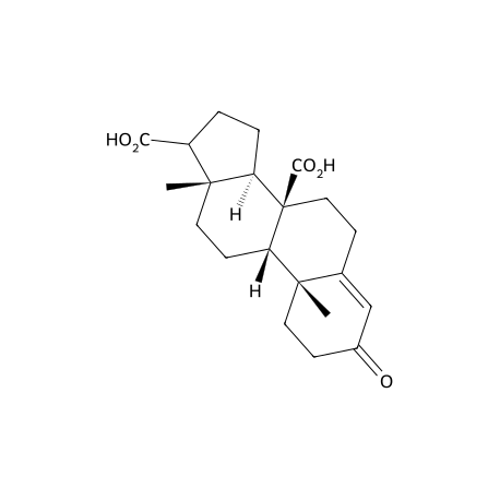 C[C@]12CCC(=O)C=C1CC[C@]1(C(=O)O)[C@H]2CC[C@]2(C)C(C(=O)O)CC[C@@H]12